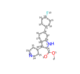 COC(=O)c1[nH]c2cc(-c3ccc(F)cc3)ccc2c1-c1ccncc1